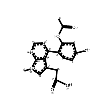 CC(=O)Oc1cc(Cl)ccc1-c1ncnc2c1c(CC(=O)O)cn2C